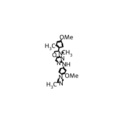 COc1ccc(C2COc3cnc(Nc4ccc(-n5cnc(C)c5)c(OC)c4)nc3N2C)c(C)c1